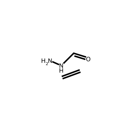 C=C.NNC=O